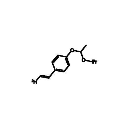 [2H]/C=C/c1ccc(OC(C)OC(C)C)cc1